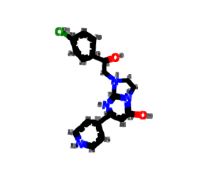 O=C(CN1CCn2c1nc(-c1ccncc1)cc2=O)c1ccc(Cl)cc1